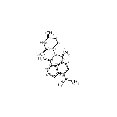 C=C1CCC(N2C(=C)c3cccc4c(C(C)C)ccc(c34)C2=C)C(=C)N1